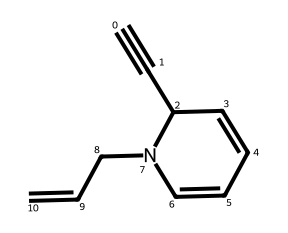 C#CC1C=CC=CN1CC=C